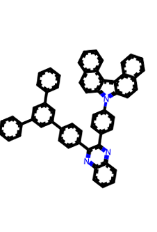 c1ccc(-c2cc(-c3ccccc3)cc(-c3ccc(-c4nc5ccccc5nc4-c4ccc(-n5c6ccc7ccccc7c6c6c7ccccc7ccc65)cc4)cc3)c2)cc1